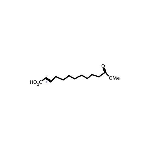 COC(=O)CCCCCCCC/C=C/C(=O)O